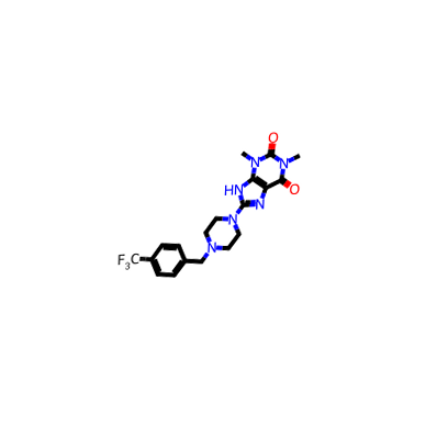 Cn1c(=O)c2nc(N3CCN(Cc4ccc(C(F)(F)F)cc4)CC3)[nH]c2n(C)c1=O